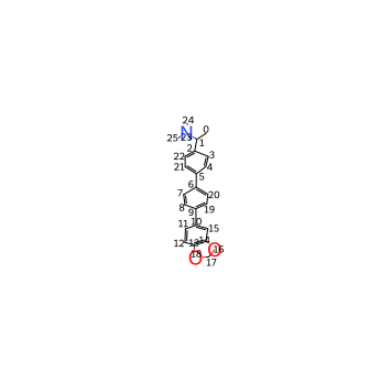 CC(c1ccc(-c2ccc(-c3ccc4c(c3)OCO4)cc2)cc1)N(C)C